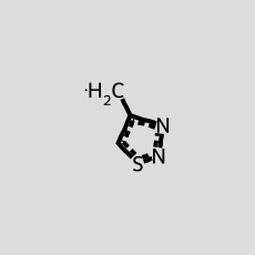 [CH2]c1csnn1